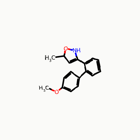 COc1ccc(-c2ccccc2C2=CC(C)ON2)cc1